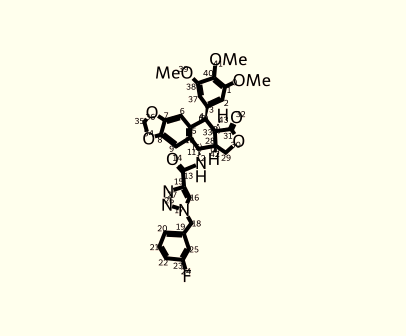 COc1cc([C@@H]2c3cc4c(cc3[C@@H](NC(=O)c3cn(Cc5cccc(F)c5)nn3)[C@H]3COC(=O)[C@H]23)OCO4)cc(OC)c1OC